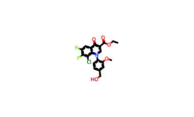 CCOC(=O)c1cn(-c2ccc(CO)cc2OC)c2c(Cl)c(F)c(F)cc2c1=O